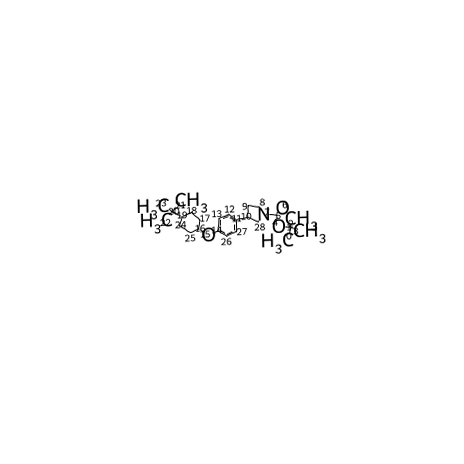 CC(C)(C)OC(=O)N1CCC(c2ccc(O[C@H]3CC[C@H](C(C)(C)C)CC3)cc2)C1